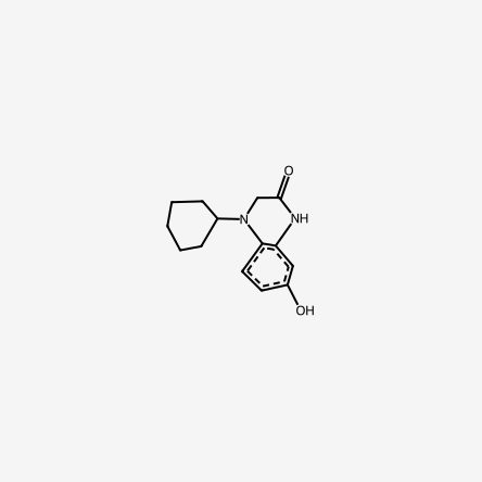 O=C1CN(C2CCCCC2)c2ccc(O)cc2N1